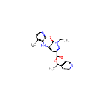 CCn1nc(C(=O)OC(C)c2ccncc2)cc(Nc2cnccc2C)c1=O